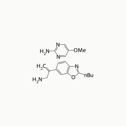 C=C(CN)c1ccc2nc(CCCC)oc2c1.COc1cnc(N)nc1